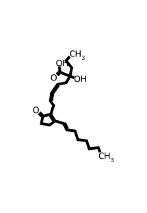 CCCCCC/C=C/C1=C(CC=C=CCC(O)(CCC)C(=O)O)C(=O)CC1